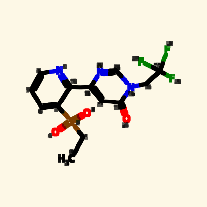 CCS(=O)(=O)c1cccnc1-c1cc(=O)n(CC(F)(F)F)cn1